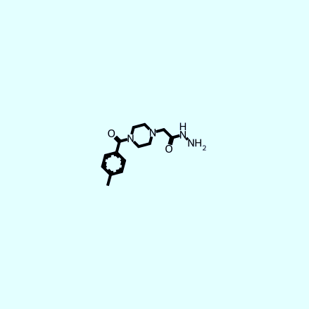 Cc1ccc(C(=O)N2CCN(CC(=O)NN)CC2)cc1